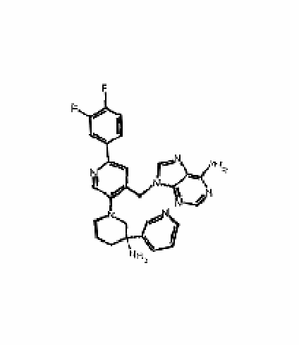 Nc1ncnc2c1ncn2Cc1cc(-c2ccc(F)c(F)c2)ncc1N1CCCC(N)(c2cccnc2)C1